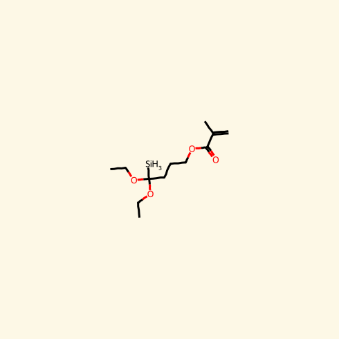 C=C(C)C(=O)OCCCC([SiH3])(OCC)OCC